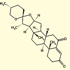 C[C@@H]1CC[C@@]2(OC1)O[C@H]1C[C@H]3[C@@H]4CC(=O)C5=CC(=O)CC[C@]5(C)[C@H]4CC[C@]3(C)[C@H]1[C@@H]2C